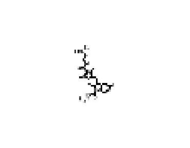 CCN(CC)CCNC(=O)c1c(C)[nH]c(C=C2C(=O)N(C(=O)NN)c3ccc(F)cc32)c1C